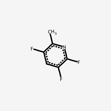 Cc1nc(F)c(F)cc1F